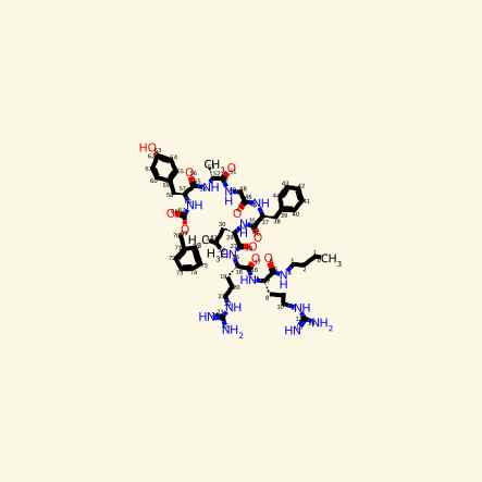 CCCCNC(=O)[C@H](CCCNC(=N)N)NC(=O)[C@H](CCCNC(=N)N)NC(=O)[C@H](CC(C)C)NC(=O)[C@H](Cc1ccccc1)NC(=O)CNC(=O)[C@@H](C)NC(=O)[C@H](Cc1ccc(O)cc1)NC(=O)OCc1ccccc1